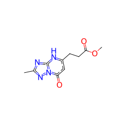 COC(=O)CCc1cc(=O)n2nc(C)nc2[nH]1